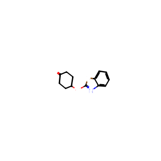 O=C1CCC(Oc2nc3ccccc3s2)CC1